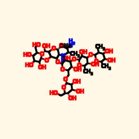 CO[C@H]1OC(CO)[C@H](O[C@H]2OC(CO)[C@@H](O)[C@H](O)C2O)[C@H](O[C@@H]2OC(CO[C@H]3OC(CO)[C@@H](O)[C@H](O)C3O)[C@@H](O)[C@H](O[C@@H]3OC(C)[C@H](O)[C@H](O[C@@H]4OC(C)[C@H](O)[C@H](O)C4C)C3O)C2O)C1NC(C)C(N)=O